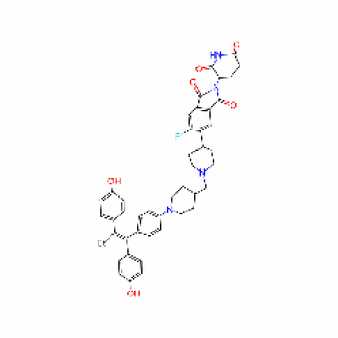 CCC(=C(c1ccc(O)cc1)c1ccc(N2CCC(CN3CCC(c4cc5c(cc4F)C(=O)N(C4CCC(=O)NC4=O)C5=O)CC3)CC2)cc1)c1ccc(O)cc1